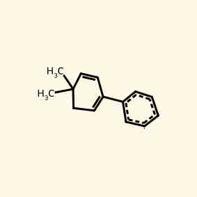 CC1(C)C=CC(c2c[c]ccc2)=CC1